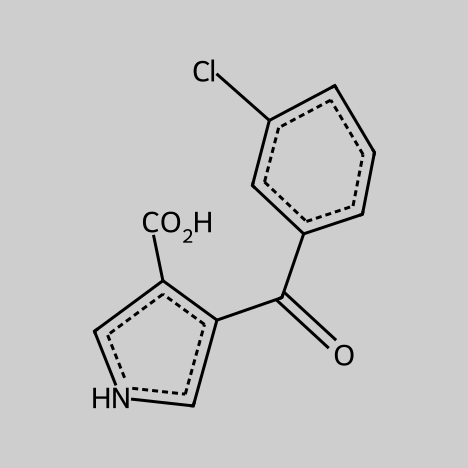 O=C(O)c1c[nH]cc1C(=O)c1cccc(Cl)c1